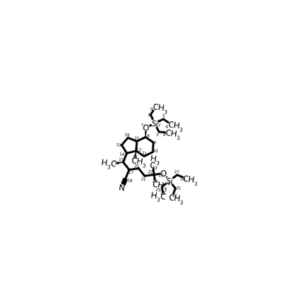 CC[Si](CC)(CC)O[C@H]1CCC[C@]2(C)C([C@H](C)C(C#N)CCC(C)(C)O[Si](CC)(CC)CC)CCC12